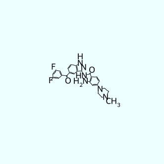 CN1CCN(c2ccc(C(=O)Nc3n[nH]c4ccc(C(=O)c5cc(F)cc(F)c5)cc34)c(N)c2)CC1